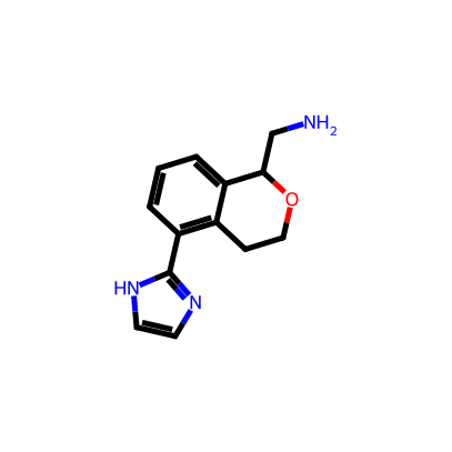 NCC1OCCc2c(-c3ncc[nH]3)cccc21